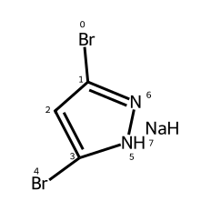 Brc1cc(Br)[nH]n1.[NaH]